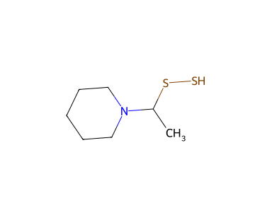 CC(SS)N1CCCCC1